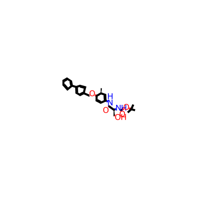 C[C@H]1C=C(NC(=O)[C@H](CO)NC(=O)OC(C)(C)C)C=CC1OCc1ccc(-c2ccccc2)cc1